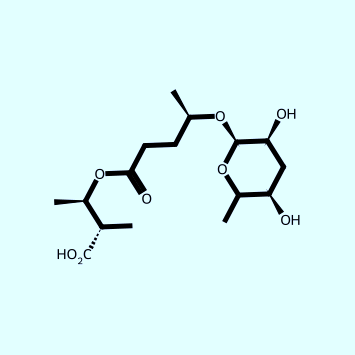 CC1O[C@@H](O[C@H](C)CCC(=O)O[C@H](C)[C@H](C)C(=O)O)[C@@H](O)C[C@H]1O